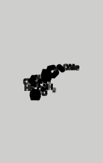 COCCN1CCc2ccc(Nc3ncc(Cl)c(NC4C5CCC(C5)C4OC(N)=O)n3)cc2CC1